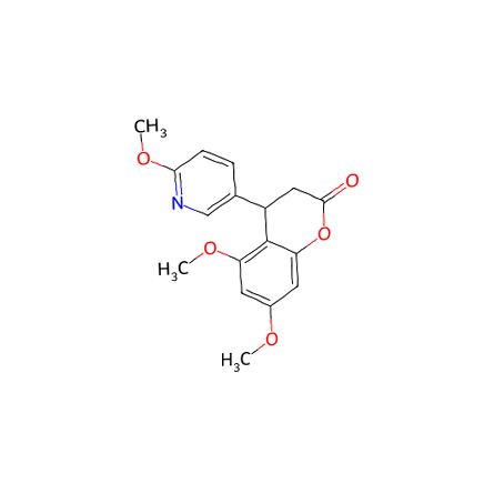 COc1cc(OC)c2c(c1)OC(=O)CC2c1ccc(OC)nc1